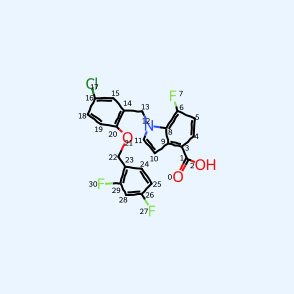 O=C(O)c1ccc(F)c2c1ccn2Cc1cc(Cl)ccc1OCc1ccc(F)cc1F